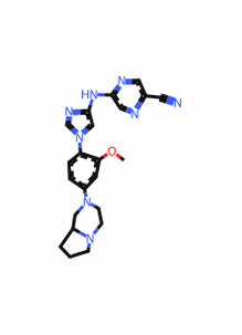 COc1cc(N2CCN3CCCC3C2)ccc1-n1cnc(Nc2cnc(C#N)cn2)c1